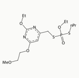 CCCSP(=O)(OCC)SCc1cc(OCCOC)nc(OCC)n1